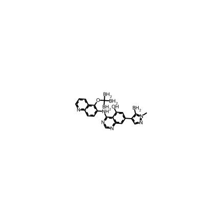 Bc1c(-c2cc(O)c3c(Nc4ccc5ncccc5c4OC(B)(B)B)ncnc3c2)cnn1C